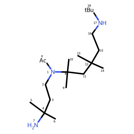 CC(=O)N(CCC(C)(C)N)C(C)(C)CC(C)(C)CCNC(C)(C)C